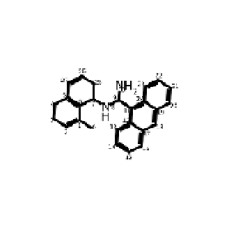 CC1=CCCC2=C1C(NC(N)c1c3ccccc3cc3ccccc13)CC=C2